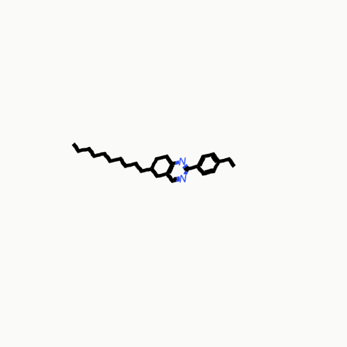 CCCCCCCCCCC1CCc2nc(-c3ccc(CC)cc3)ncc2C1